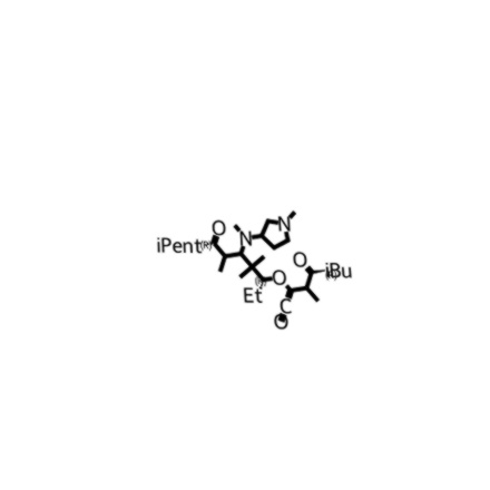 CCC[C@@H](C)C(=O)C(C)C(N(C)C1CCN(C)C1)C(C)(C)[C@@H](CC)OC(=C=O)C(C)C(=O)[C@H](C)CC